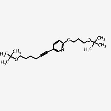 CC(C)(C)OCCCCC#Cc1ccc(OCCCOC(C)(C)C)nc1